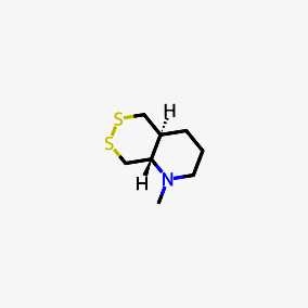 CN1CCC[C@@H]2CSSC[C@H]21